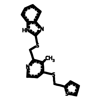 Cc1c(SCc2cccs2)ccnc1CSc1nc2ccccc2[nH]1